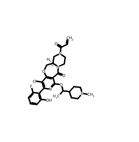 C=CC(=O)N1CCN2C(=O)c3c(OC(C)C4CCN(C)CC4)nc(-c4c(O)cccc4F)c(Cl)c3OC[C@H]2C1